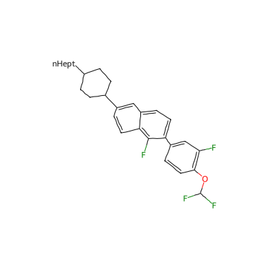 CCCCCCCC1CCC(c2ccc3c(F)c(-c4ccc(OC(F)F)c(F)c4)ccc3c2)CC1